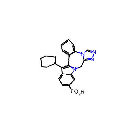 O=C(O)c1ccc2c(C3CCCCC3)c3n(c2c1)Cc1nncn1-c1ccccc1-3